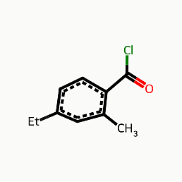 CCc1ccc(C(=O)Cl)c(C)c1